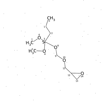 CCC[Si](OC)(OC)OCOCC1CO1